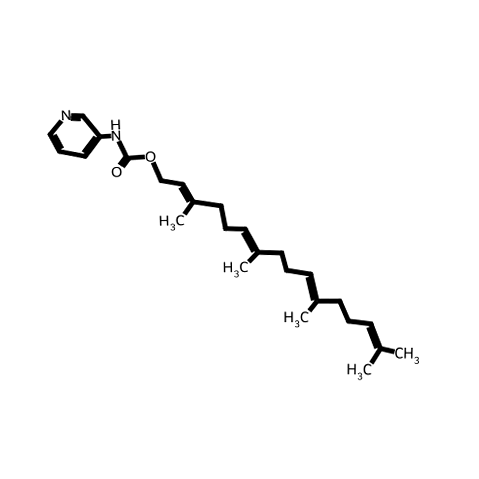 CC(C)=CCC/C(C)=C/CC/C(C)=C/CC/C(C)=C/COC(=O)Nc1cccnc1